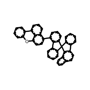 c1ccc2c(c1)Oc1ccc(-c3cccc4c3-c3ccccc3C43c4ccccc4-c4ccc5ccccc5c43)c3cccc-2c13